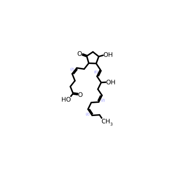 CC/C=C\C/C=C\CC(O)/C=C/C1C(O)CC(=O)C1C/C=C\CCC(=O)O